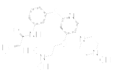 C=CC(=O)Nc1cccc(Sc2cc(OCCN(C)C)c(N3CCN(C)CC3)cn2)c1